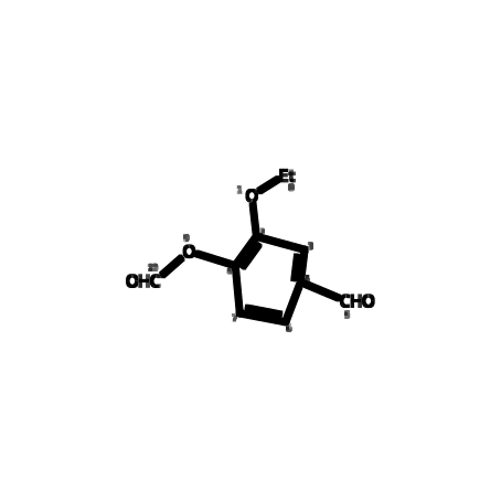 CCOc1cc(C=O)ccc1OC=O